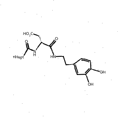 CCCCCCCC(=O)N[C@H](CC(=O)O)C(=O)NCCc1ccc(O)c(O)c1